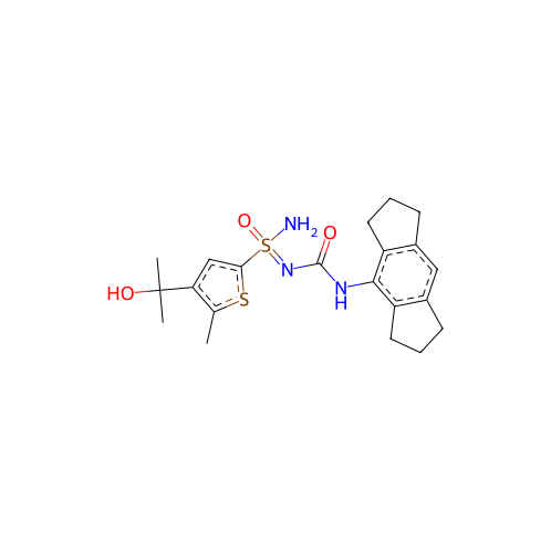 Cc1sc(S(N)(=O)=NC(=O)Nc2c3c(cc4c2CCC4)CCC3)cc1C(C)(C)O